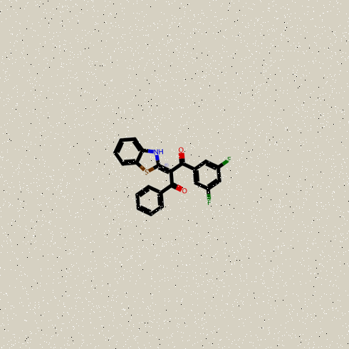 O=C(/C(C(=O)c1cc(F)cc(F)c1)=C1/Nc2ccccc2S1)c1ccccc1